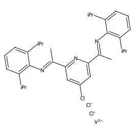 CC(=Nc1c(C(C)C)cccc1C(C)C)c1cc(Cl)cc(C(C)=Nc2c(C(C)C)cccc2C(C)C)n1.[Cl-].[Cl-].[V+2]